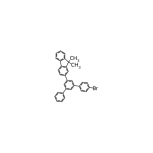 CC1(C)c2ccccc2-c2ccc(-c3cc(-c4ccccc4)cc(-c4ccc(Br)cc4)c3)cc21